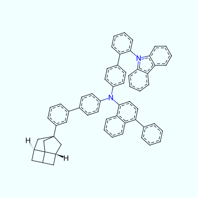 c1ccc(-c2ccc(N(c3ccc(-c4cccc(C56C[C@@H]7CC8C[C@@H](C5)C87C6)c4)cc3)c3ccc(-c4ccccc4-n4c5ccccc5c5ccccc54)cc3)c3ccccc23)cc1